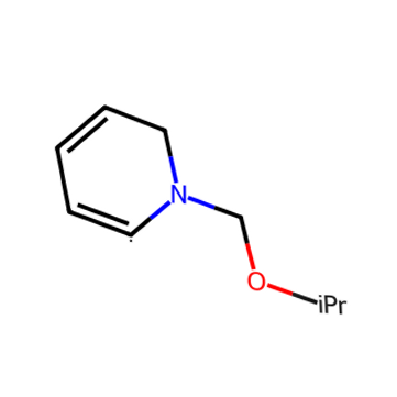 CC(C)OCN1[C]=CC=CC1